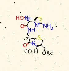 CC(=O)OCC1=C(C(=O)O)N2C(=O)[C@@H](CNC(=O)/C(=N\O)c3csc(N)n3)C2SC1